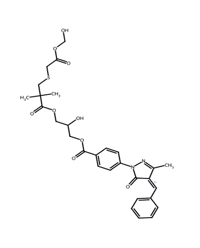 CC1=NN(c2ccc(C(=O)OCC(O)COC(=O)C(C)(C)CSCC(=O)OCO)cc2)C(=O)/C1=C\c1ccccc1